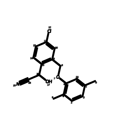 Cc1ccc(C)c(OCc2cc(Cl)ccc2C(O)C#N)c1